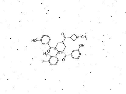 Cc1c(F)cccc1[C@@H]1[C@@H](C(=O)c2cccc(O)c2)CN(C(=O)C2CN(C)C2)C[C@H]1C(=O)c1cccc(O)c1